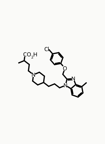 Cc1cccc2c1nc(COc1ccc(Cl)cc1)n2CCCC1CCN(CCC(C)C(=O)O)CC1